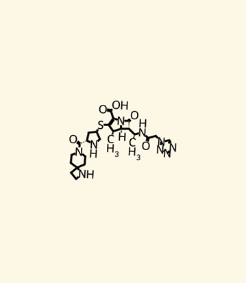 C[C@@H](NC(=O)Cn1cnnn1)[C@H]1C(=O)N2C(C(=O)O)=C(SC3CN[C@H](C(=O)N4CCC5(CCN5)CC4)C3)[C@H](C)[C@H]12